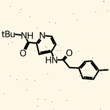 Cc1ccc(CC(=O)Nc2ccnc(C(=O)NC(C)(C)C)c2)cc1